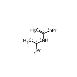 C=C(CCC)NC(C)C(C)C